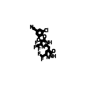 N#Cc1cc(Cl)cc(Oc2c(C(F)(F)F)nc(Cc3cc(C(F)F)n[nH]c3=O)[nH]c2=O)c1